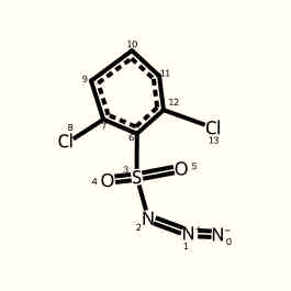 [N-]=[N+]=NS(=O)(=O)c1c(Cl)cccc1Cl